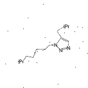 CC(C)CCCCCn1nncc1CC(C)C